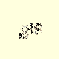 COCc1c(Br)cccc1N(N)C(=O)N(C)N